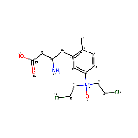 Cc1ccc([N+]([O-])(CCCl)CCCl)cc1CC(N)CC(=O)O